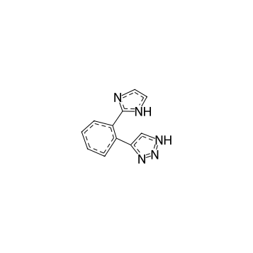 c1ccc(-c2ncc[nH]2)c(-c2c[nH]nn2)c1